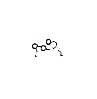 CCNC(=O)NCc1ccccc1-c1ccc(CN2C(=O)[C@H](NC(=O)CC(C)(C)N)CCc3cc(SC)ccc32)cc1